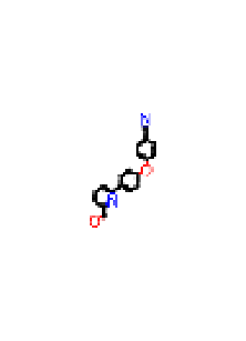 N#Cc1ccc(Oc2ccc(-c3cccc(C=O)n3)cc2)cc1